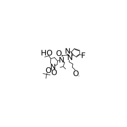 COCCCCn1c(C(=O)N(CC(C)C)C2CC(C(C)O)CN(C(=O)OC(C)(C)C)C2)nc2ccc(F)cc21